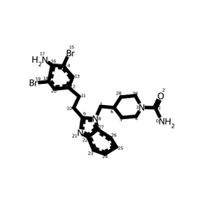 NC(=O)N1CCC(Cn2c([CH]Cc3cc(Br)c(N)c(Br)c3)nc3ccccc32)CC1